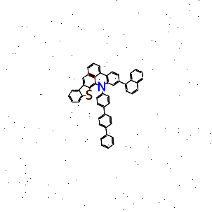 c1ccc(-c2ccc(-c3ccc(N(c4cc(-c5cccc6ccccc56)ccc4-c4ccccc4)c4cccc5c4sc4ccccc45)cc3)cc2)cc1